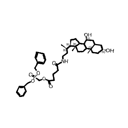 C[C@H](CCNC(=O)CCCC(=O)OCP(=O)(OCc1ccccc1)OCc1ccccc1)[C@H]1CCC2C3C(CC[C@@]21C)[C@@]1(C)CC[C@@H](O)CC1C[C@@H]3O